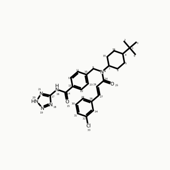 CC(C)(C)C1CCC(N(Cc2ccc(C(=O)Nc3nn[nH]n3)cc2)C(=O)/C=C/c2cccc(Cl)c2)CC1